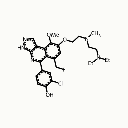 CCN(CC)CCN(C)CCOc1cc(CF)c2c(-c3ccc(O)c(Cl)c3)nc3[nH]ncc3c2c1OC